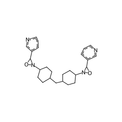 c1cncc(C2ON2C2CCC(CC3CCC(N4OC4c4cccnc4)CC3)CC2)c1